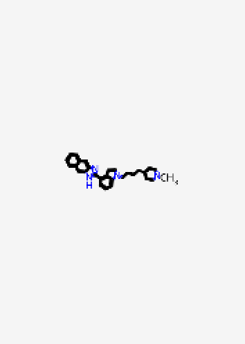 CN1CCC(CCCCn2ccc3c(-c4nc5cc6ccccc6cc5[nH]4)cccc32)CC1